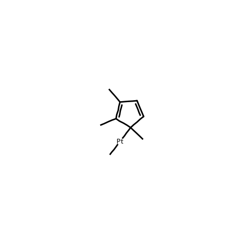 [CH3][Pt][C]1(C)C=CC(C)=C1C